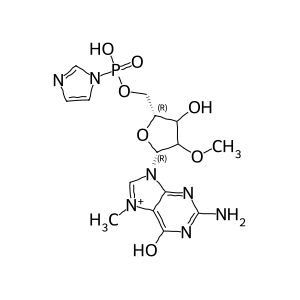 COC1C(O)[C@@H](COP(=O)(O)n2ccnc2)O[C@H]1n1c[n+](C)c2c(O)nc(N)nc21